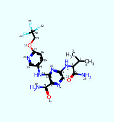 CC(C)C(Nc1cnc(C(N)=O)c(Nc2ccc(OCC(F)(F)F)nc2)n1)C(N)=O